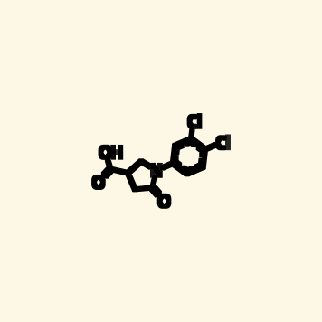 O=C(O)C1CC(=O)N(c2ccc(Cl)c(Cl)c2)C1